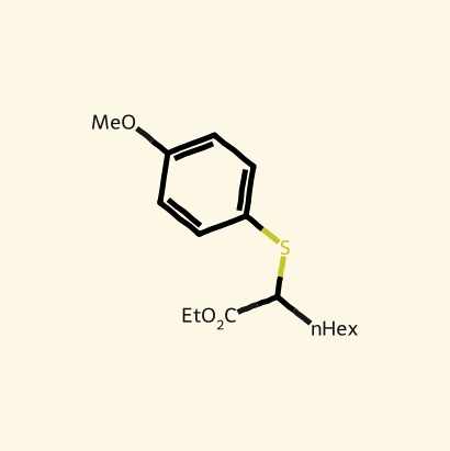 CCCCCCC(Sc1ccc(OC)cc1)C(=O)OCC